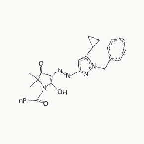 CCCC(=O)N1C(O)=C(N=Nc2cc(C3CC3)n(Cc3ccccc3)n2)C(=O)C1(C)C